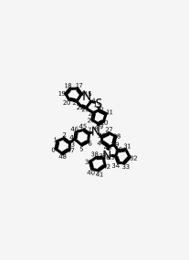 c1ccc(-c2ccc(N(c3ccc4sc5nc6ccccc6cc5c4c3)c3ccc4c5ccccc5n(-c5ccccc5)c4c3)cc2)cc1